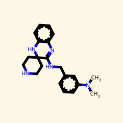 CN(C)c1cccc(CNC2=Nc3ccccc3NC23CCNCC3)c1